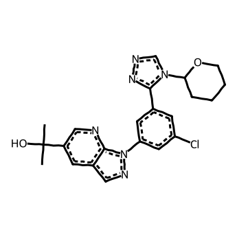 CC(C)(O)c1cnc2c(cnn2-c2cc(Cl)cc(-c3nncn3C3CCCCO3)c2)c1